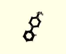 CB1CCB(c2ccccc2)CC1